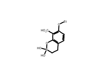 CCOc1ccc2c(c1C(=O)O)O[B-](O)(O)CC2